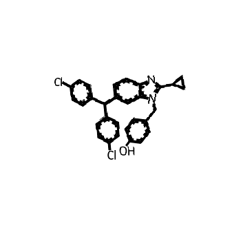 Oc1ccc(Cn2c(C3CC3)nc3ccc(C(c4ccc(Cl)cc4)c4ccc(Cl)cc4)cc32)cc1